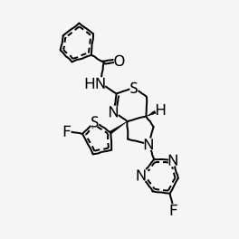 O=C(NC1=N[C@@]2(c3ccc(F)s3)CN(c3ncc(F)cn3)C[C@H]2CS1)c1ccccc1